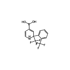 OB(O)C1=CC(c2ccccc2C(F)(F)F)(C(F)(F)F)NC=C1